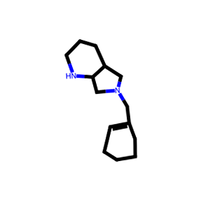 C1=C(CN2CC3CCCNC3C2)CCCC1